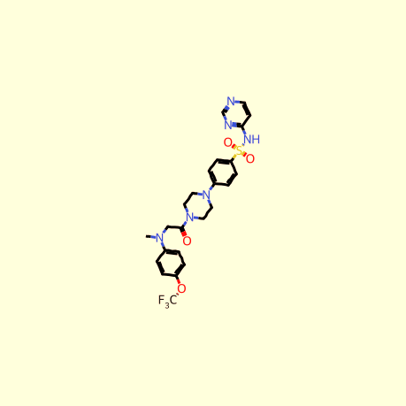 CN(CC(=O)N1CCN(c2ccc(S(=O)(=O)Nc3ccncn3)cc2)CC1)c1ccc(OC(F)(F)F)cc1